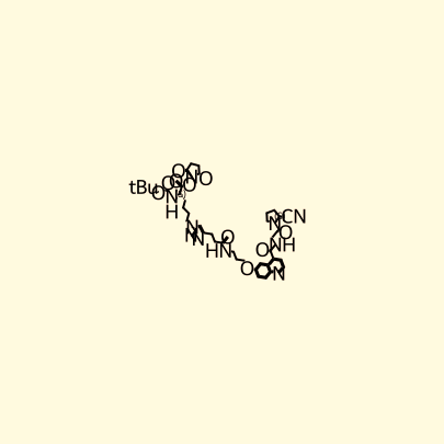 CC(C)(C)OC(=O)N[C@@H](CCCCn1cc(CCC(=O)NCCCOc2ccc3nccc(C(=O)NCC(=O)N4CCC[C@H]4C#N)c3c2)nn1)C(=O)ON1C(=O)CCC1=O